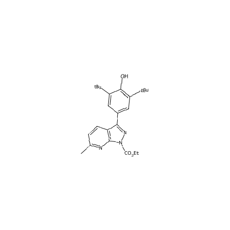 CCOC(=O)n1nc(-c2cc(C(C)(C)C)c(O)c(C(C)(C)C)c2)c2ccc(C)nc21